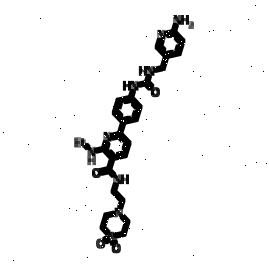 CCNc1nc(-c2ccc(NC(=O)NCc3ccc(N)nc3)cc2)ccc1C(=O)NCCN1CCS(=O)(=O)CC1